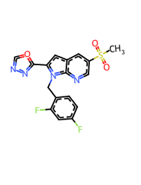 CS(=O)(=O)c1cnc2c(c1)cc(-c1nnco1)n2Cc1ccc(F)cc1F